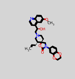 C=CC[C@@H]1CN(C[C@H](O)c2ccnc3ccc(OC)cc23)CC[C@]12CN(c1ccc3c(c1)OCCO3)C(=O)O2